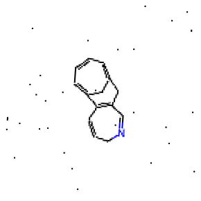 C1=CC=C2CC(=C1)CC1=C2C=CCN=C1